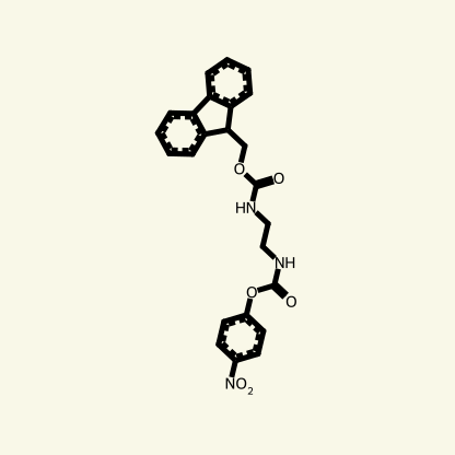 O=C(NCCNC(=O)Oc1ccc([N+](=O)[O-])cc1)OCC1c2ccccc2-c2ccccc21